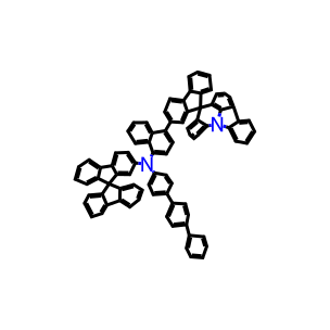 c1ccc(-c2ccc(-c3ccc(N(c4ccc5c(c4)C4(c6ccccc6-c6ccccc64)c4ccccc4-5)c4ccc(-c5ccc6c(c5)C5(c7ccccc7-6)c6ccccc6-n6c7ccccc7c7cccc5c76)c5ccccc45)cc3)cc2)cc1